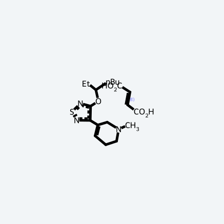 CCCCC(CC)Oc1nsnc1C1=CCCN(C)C1.O=C(O)/C=C/C(=O)O